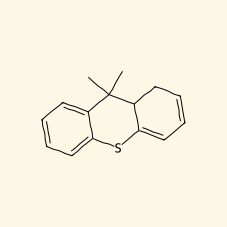 CC1(C)c2ccccc2SC2=CC=CCC21